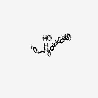 Cl.Cl.O=C(NCCCN1CCC(F)CC1)c1ccc2c(c1)sc1nc(-c3ccc(C4COCCN4)cc3F)cn12